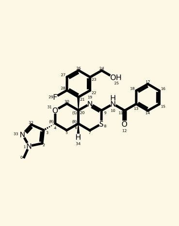 Cn1cc([C@H]2C[C@H]3CSC(NC(=O)c4ccccc4)=N[C@@]3(c3cc(CO)ccc3F)CO2)cn1